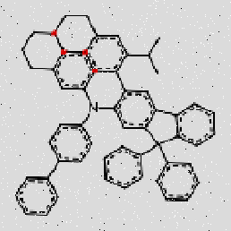 CC(C)c1cc2c(cc1-c1cc3c(cc1N(c1ccc(-c4ccccc4)cc1)c1ccc4c(c1)CCCC4)C(c1ccccc1)(c1ccccc1)c1ccccc1-3)CCCC2